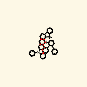 CC1(C)c2ccccc2-c2cccc(N(c3ccc4c(c3)c3ccccc3n4-c3ccccc3)c3cccc(-c4ccccc4)c3-c3ccccc3-c3ccccc3)c21